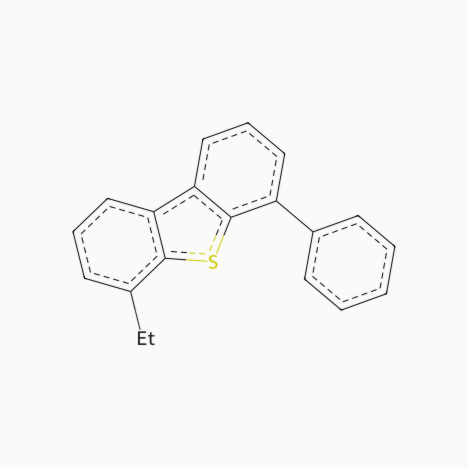 CCc1cccc2c1sc1c(-c3ccccc3)cccc12